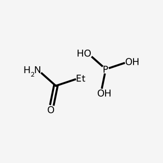 CCC(N)=O.OP(O)O